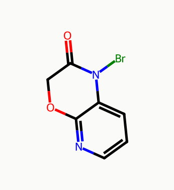 O=C1COc2ncccc2N1Br